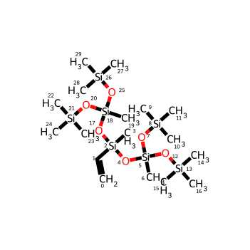 C=C[Si](C)(O[Si](C)(O[Si](C)(C)C)O[Si](C)(C)C)O[Si](C)(O[Si](C)(C)C)O[Si](C)(C)C